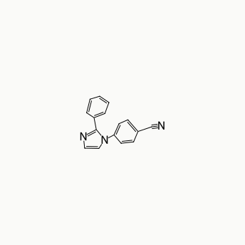 N#Cc1ccc(-n2ccnc2-c2ccccc2)cc1